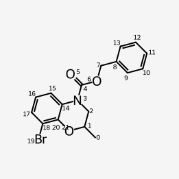 CC1CN(C(=O)OCc2ccccc2)c2cccc(Br)c2O1